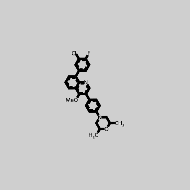 COc1c(-c2ccc(N3CC(C)OC(C)C3)cc2)cnc2c(-c3ccc(F)c(Cl)c3)cccc12